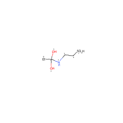 CCC(O)(O)NCCS(=O)(=O)O